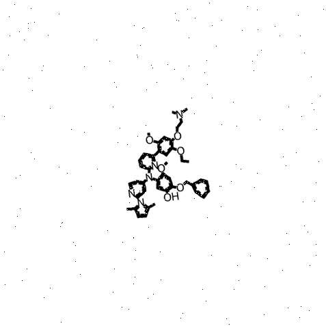 CCOc1cc(-c2cccc(N(c3ccnc(-n4c(C)ccc4C)c3)c3cc(O)c(OCc4ccccc4)cc3OC)n2)c(OC)cc1OCCN(C)C